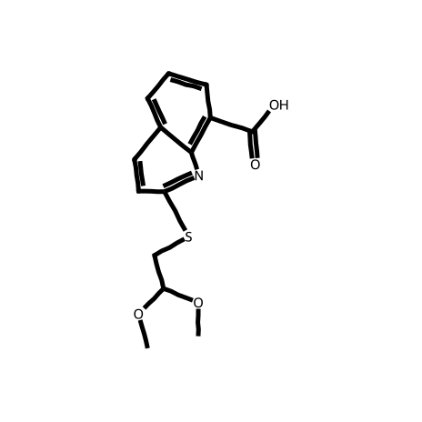 COC(CSc1ccc2cccc(C(=O)O)c2n1)OC